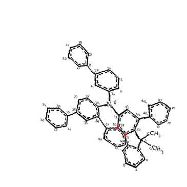 CC1(C)c2ccccc2-c2cc(N(c3cccc(-c4ccccc4)c3)c3ccc(-c4ccccc4)cc3-c3ccccc3)cc(-c3ccccc3)c21